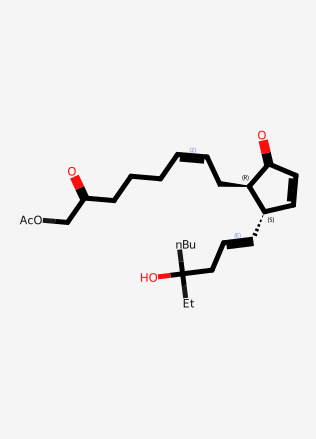 CCCCC(O)(CC)C/C=C/[C@H]1C=CC(=O)[C@@H]1C/C=C\CCCC(=O)COC(C)=O